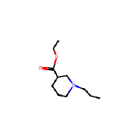 CCCN1CCCC(C(=O)OCC)C1